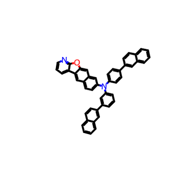 c1cc(-c2ccc3ccccc3c2)cc(N(c2ccc(-c3ccc4ccccc4c3)cc2)c2ccc3cc4c(cc3c2)oc2ncccc24)c1